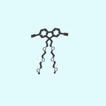 C#Cc1ccc2c(c1)C(CCOCCOCCOC)(CCOCCOCCOC)c1cc(C#C)ccc1-2